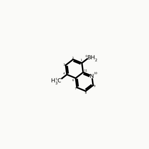 Bc1ccc(C)c2cccnc12